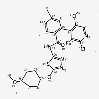 COc1cnc(Cl)c(F)c1-c1cc(C)ncc1C(=O)Nc1nnc(O[C@H]2CC[C@H](OC)CC2)s1